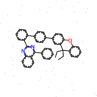 CCC1(CC)c2ccccc2Oc2ccc(-c3ccc(-c4ccccc4-c4nc(-c5ccccc5)c5ccccc5n4)cc3)cc21